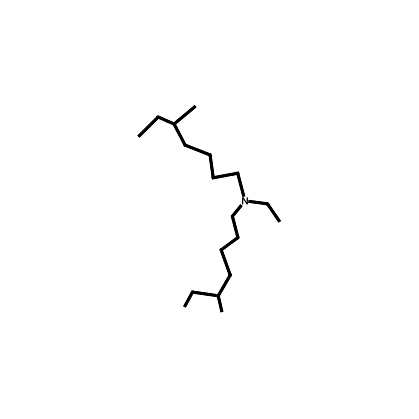 CCC(C)CCCCN(CC)CCCCC(C)CC